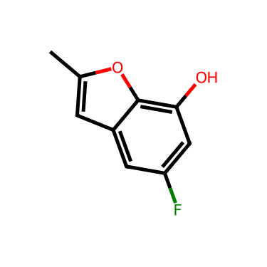 Cc1cc2cc(F)cc(O)c2o1